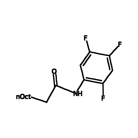 CCCCCCCCCC(=O)Nc1cc(F)c(F)cc1F